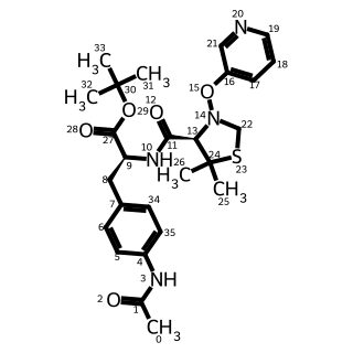 CC(=O)Nc1ccc(C[C@H](NC(=O)[C@H]2N(Oc3cccnc3)CSC2(C)C)C(=O)OC(C)(C)C)cc1